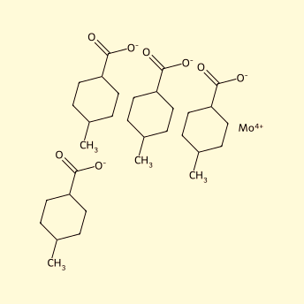 CC1CCC(C(=O)[O-])CC1.CC1CCC(C(=O)[O-])CC1.CC1CCC(C(=O)[O-])CC1.CC1CCC(C(=O)[O-])CC1.[Mo+4]